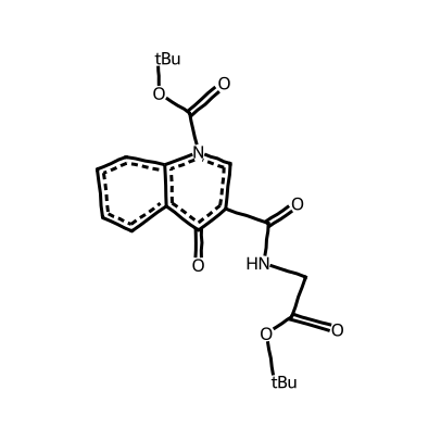 CC(C)(C)OC(=O)CNC(=O)c1cn(C(=O)OC(C)(C)C)c2ccccc2c1=O